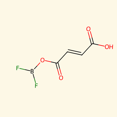 O=C(O)C=CC(=O)OB(F)F